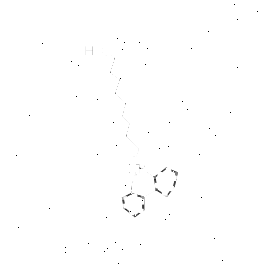 CCCCCCCCCCO[PH]1(O)Oc2ccccc2-c2ccccc21